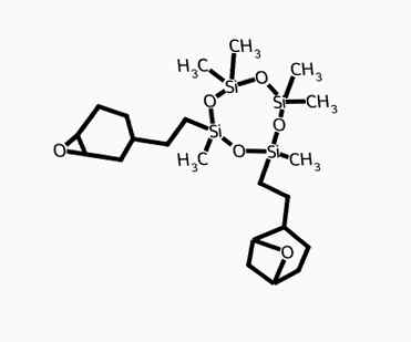 C[Si]1(C)O[Si](C)(C)O[Si](C)(CCC2CCC3CC2O3)O[Si](C)(CCC2CCC3OC3C2)O1